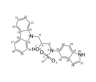 CS(=O)(=O)N(CC(O)Cn1c2ccccc2c2ccccc21)c1ccc2[nH]ccc2c1